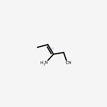 C/C=C(\N)CC#N